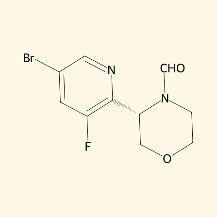 O=CN1CCOC[C@@H]1c1ncc(Br)cc1F